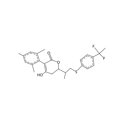 Cc1cc(C)c(C2=C(O)CC(C(C)CSc3ccc(C(C)(F)F)cc3)OC2=O)c(C)c1